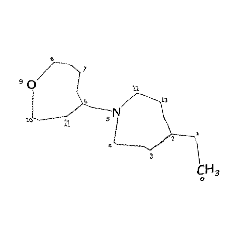 CCC1CCN(C2CCOCC2)CC1